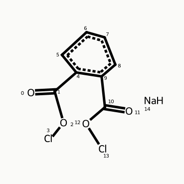 O=C(OCl)c1ccccc1C(=O)OCl.[NaH]